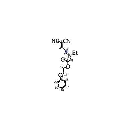 CCN(/C=C/C=C(C#N)C#N)CC(=O)OCCOc1ccccc1